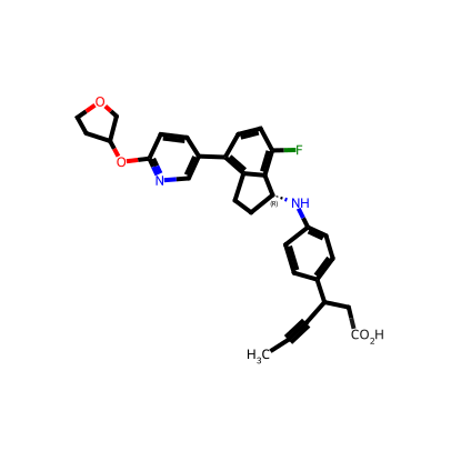 CC#CC(CC(=O)O)c1ccc(N[C@@H]2CCc3c(-c4ccc(OC5CCOC5)nc4)ccc(F)c32)cc1